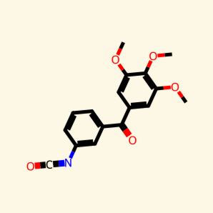 COc1cc(C(=O)c2cccc(N=C=O)c2)cc(OC)c1OC